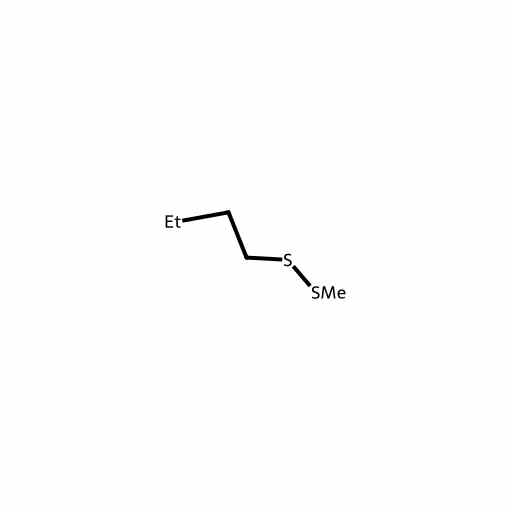 CCCCSSC